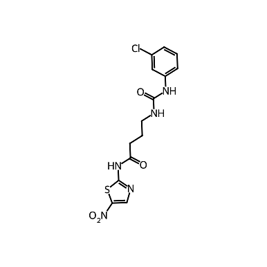 O=C(CCCNC(=O)Nc1cccc(Cl)c1)Nc1ncc([N+](=O)[O-])s1